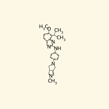 COc1ccc2cnc(Nc3ccc(N4CC5=CN(C)CC5C4)cc3)nc2c1C(C)C